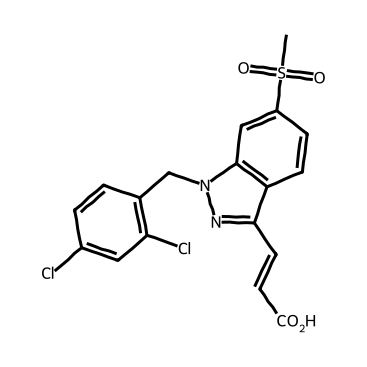 CS(=O)(=O)c1ccc2c(/C=C/C(=O)O)nn(Cc3ccc(Cl)cc3Cl)c2c1